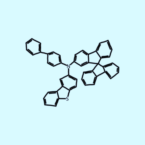 c1ccc(-c2ccc(N(c3ccc4c(c3)C3(c5ccccc5-c5ccccc53)c3ccccc3-4)c3ccc4sc5ccccc5c4c3)cc2)cc1